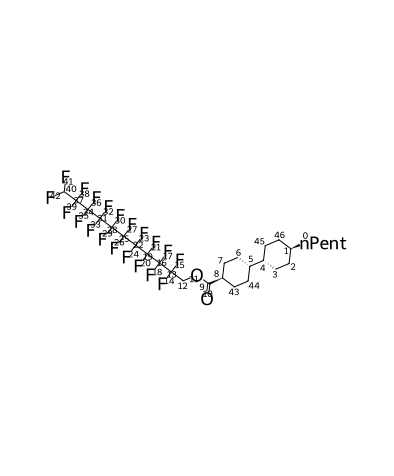 CCCCC[C@H]1CC[C@H]([C@H]2CC[C@H](C(=O)OCC(F)(F)C(F)(F)C(F)(F)C(F)(F)C(F)(F)C(F)(F)C(F)(F)C(F)(F)C(F)(F)C(F)F)CC2)CC1